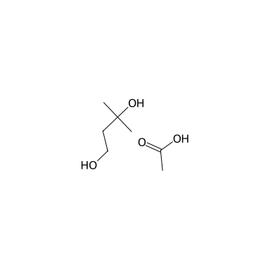 CC(=O)O.CC(C)(O)CCO